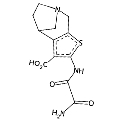 NC(=O)C(=O)Nc1sc2c(c1C(=O)O)C1CCN(C2)C1